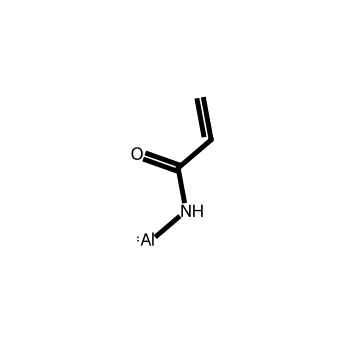 C=CC(=O)[NH][Al]